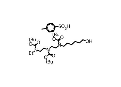 CCN(CCN(CCN(CCCCCCO)C(=O)OC(C)(C)C)C(=O)OC(C)(C)C)C(=O)OC(C)(C)C.Cc1ccc(S(=O)(=O)O)cc1